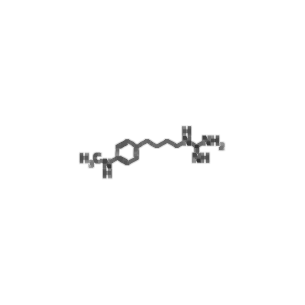 CNc1ccc(CCCCNC(=N)N)cc1